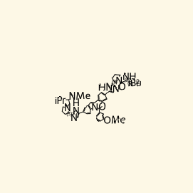 CC[C@@H](C)[C@H](N)C(=O)N1CCC[C@H]1c1ncc(-c2ccc3c(c2)OC(c2cccc(OC)c2)n2c-3cc3cc(-c4cnc([C@@H]5CCCN5CC(NC)C(C)C)[nH]4)ccc32)[nH]1